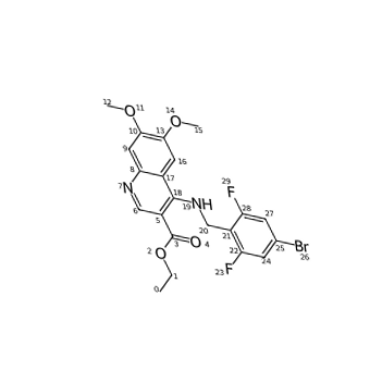 CCOC(=O)c1cnc2cc(OC)c(OC)cc2c1NCc1c(F)cc(Br)cc1F